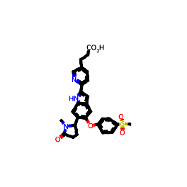 CN1C(=O)CCC1c1cc2[nH]c(-c3ccc(CCC(=O)O)cn3)cc2cc1Oc1ccc(S(C)(=O)=O)cc1